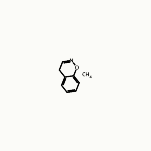 C.C1=NOc2ccccc2C1